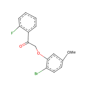 COc1ccc(Br)c(OCC(=O)c2ccccc2F)c1